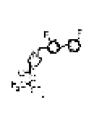 O=C(OC(C(F)(F)F)C(F)(F)F)N1CCN(Cc2ccc(-c3cccc(F)c3)cc2F)CC1